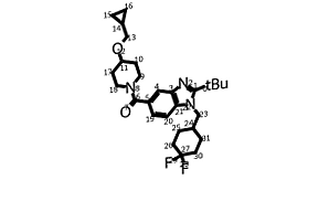 CC(C)(C)c1nc2cc(C(=O)N3CCC(OCC4CC4)CC3)ccc2n1CC1CCC(F)(F)CC1